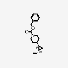 C=C[C@H]1C[C@@H]1C1CCN(C(=O)OCc2ccccc2)CC1